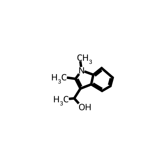 Cc1c(C(C)O)c2ccccc2n1C